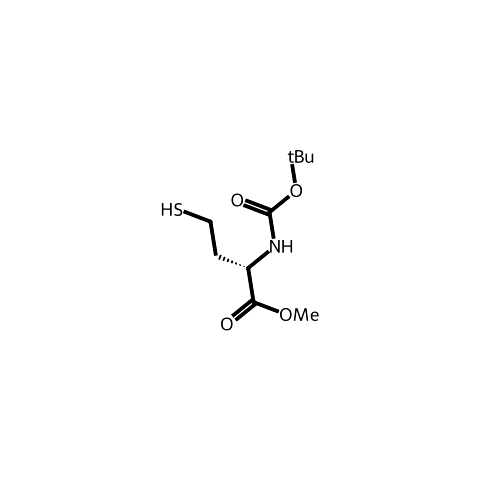 COC(=O)[C@H](CCS)NC(=O)OC(C)(C)C